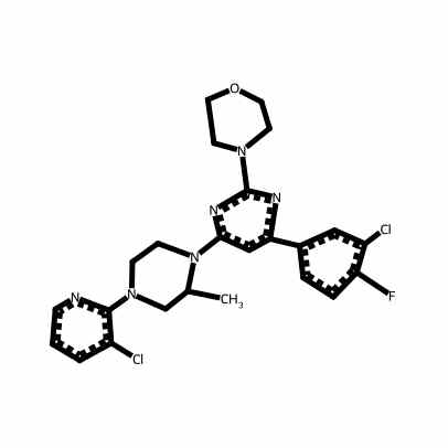 CC1CN(c2ncccc2Cl)CCN1c1cc(-c2ccc(F)c(Cl)c2)nc(N2CCOCC2)n1